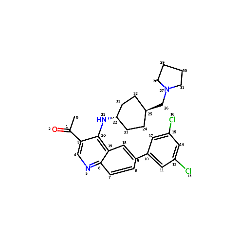 CC(=O)c1cnc2ccc(-c3cc(Cl)cc(Cl)c3)cc2c1N[C@H]1CC[C@H](CN2CCCC2)CC1